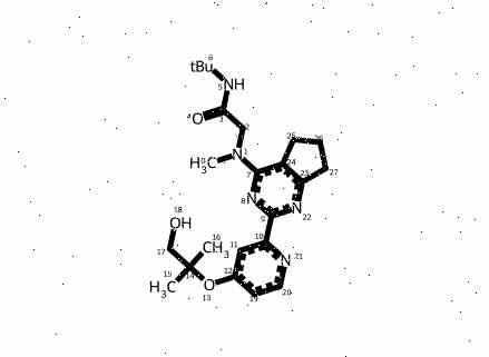 CN(CC(=O)NC(C)(C)C)c1nc(-c2cc(OC(C)(C)CO)ccn2)nc2c1CCC2